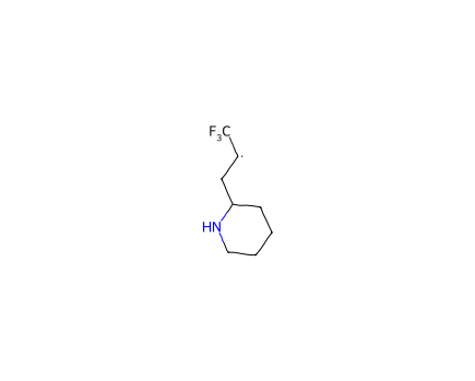 FC(F)(F)[CH]CC1CCCCN1